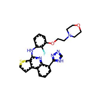 Fc1c(Nc2nc3c(-c4nnc[nH]4)cccc3c3ccsc23)cccc1OCCN1CCOCC1